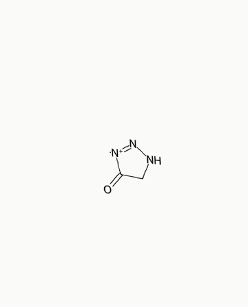 O=C1CNN=[N+]1